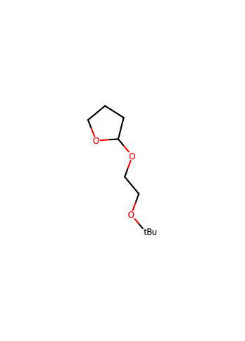 CC(C)(C)OCCOC1CCCO1